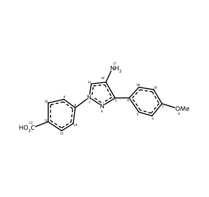 COc1ccc(-c2nn(-c3ccc(C(=O)O)cc3)cc2N)cc1